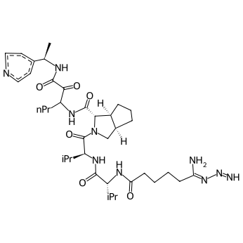 CCCC(NC(=O)[C@@H]1[C@H]2CCC[C@H]2CN1C(=O)[C@@H](NC(=O)[C@H](NC(=O)CCCC/C(N)=N/N=N)C(C)C)C(C)C)C(=O)C(=O)N[C@H](C)c1ccncc1